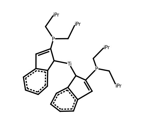 CC(C)CP(CC(C)C)C1=Cc2ccccc2[CH]1[Ti][CH]1C(P(CC(C)C)CC(C)C)=Cc2ccccc21